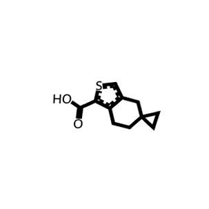 O=C(O)c1scc2c1CCC1(CC1)C2